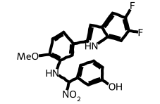 COc1ccc(-c2cc3cc(F)c(F)cc3[nH]2)cc1NC(c1cccc(O)c1)[N+](=O)[O-]